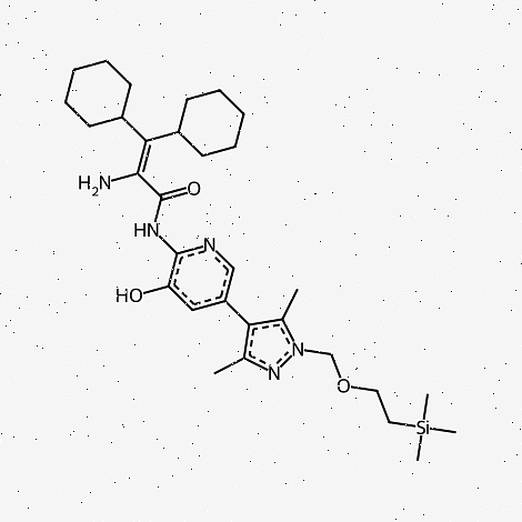 Cc1nn(COCC[Si](C)(C)C)c(C)c1-c1cnc(NC(=O)C(N)=C(C2CCCCC2)C2CCCCC2)c(O)c1